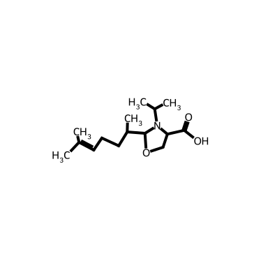 CC(C)=CCCC(C)C1OCC(C(=O)O)N1C(C)C